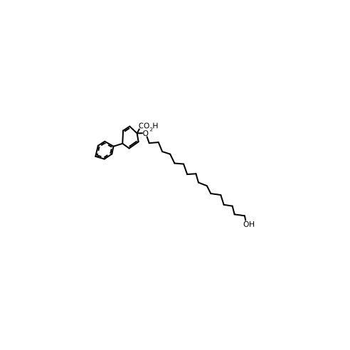 O=C(O)C1(OCCCCCCCCCCCCCCCCO)C=CC(c2ccccc2)C=C1